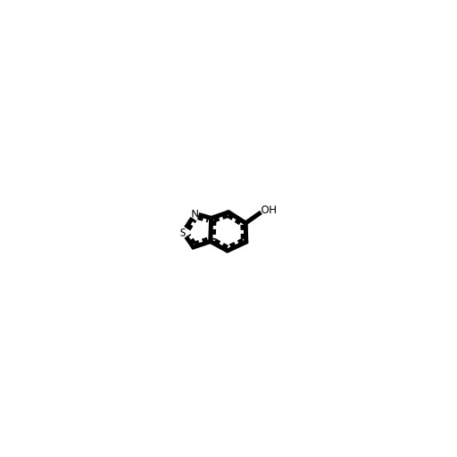 Oc1ccc2csnc2c1